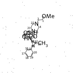 COCCN1CCN(S(=O)(=O)N[C@H]2[C@H](C)[C@@H]2c2ccccc2)CC1.O=C(O)O